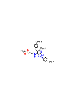 CCCCCc1nc(NCc2ccc(OC)cc2)c(N)c(NCCCCS(C)(=O)=O)c1Cc1ccc(OC)cc1